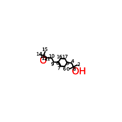 CC(C)(O)CC1CC=C(CCC2OC2(C)C)CC1